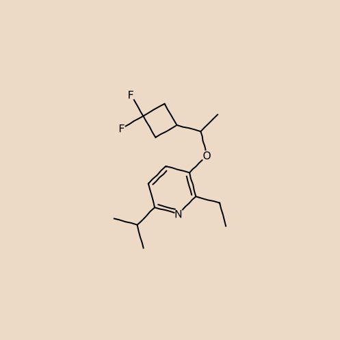 CCc1nc(C(C)C)ccc1OC(C)C1CC(F)(F)C1